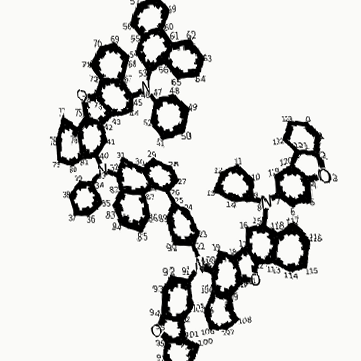 C1=CC2Oc3ccc(N(c4ccccc4)c4cc5c6cc(N(c7ccc(-c8cccc9cc(N(c%10ccccc%10)c%10cc%11c%12cc(N(c%13ccccc%13)c%13cc%14ccccc%14c%14ccccc%13%14)c%13ccccc%13c%12oc%11c%11ccccc%10%11)c%10ccccc%10c89)cc7)c7ccc8oc9ccccc9c8c7)c7ccccc7c6oc5c5ccccc45)cc3C2C=C1